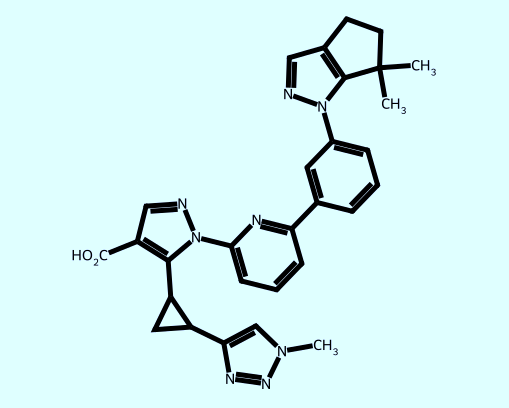 Cn1cc(C2CC2c2c(C(=O)O)cnn2-c2cccc(-c3cccc(-n4ncc5c4C(C)(C)CC5)c3)n2)nn1